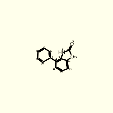 O=c1[nH]c2c(-c3ccccc3)cccc2o1